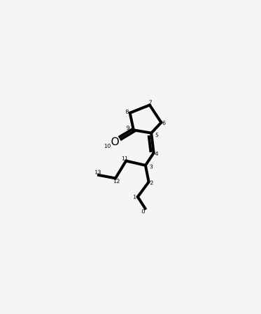 CCCC(C=C1CCCC1=O)CCC